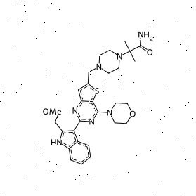 COCc1[nH]c2ccccc2c1-c1nc(N2CCOCC2)c2sc(CN3CCN(C(C)(C)C(N)=O)CC3)cc2n1